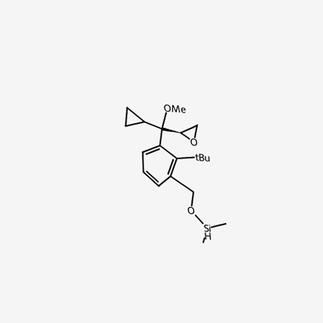 COC(c1cccc(CO[SiH](C)C)c1C(C)(C)C)(C1CC1)[C@H]1CO1